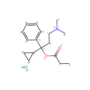 CCC(=O)OC(CCN(C)C)(c1ccccc1)C1CC1.Cl